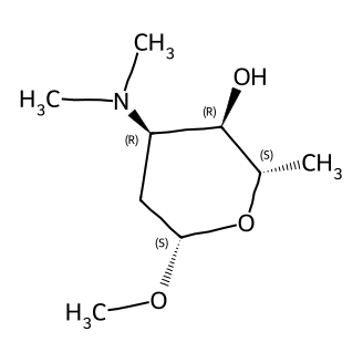 CO[C@@H]1C[C@@H](N(C)C)[C@@H](O)[C@H](C)O1